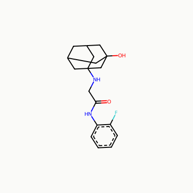 O=C(CNC12CC3CC(CC(O)(C3)C1)C2)Nc1ccccc1F